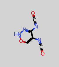 O=C=NC1=CONN=C1N=C=O